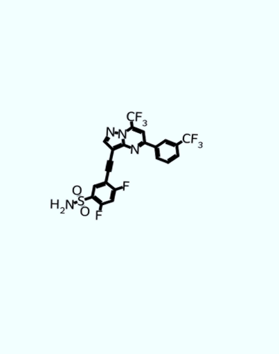 NS(=O)(=O)c1cc(C#Cc2cnn3c(C(F)(F)F)cc(-c4cccc(C(F)(F)F)c4)nc23)c(F)cc1F